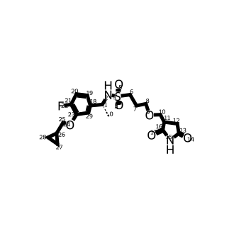 C[C@@H](NS(=O)(=O)CCCOCC1CC(=O)NC1=O)c1ccc(F)c(OCC2CC2)c1